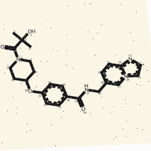 CC(C)(O)C(=O)N1CCC(Oc2ccc(C(=O)NCc3ccc4nccn4c3)cc2)CC1